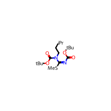 CSC(=NC(=O)OC(C)(C)C)N(CCC(C)C)C(=O)OC(C)(C)C